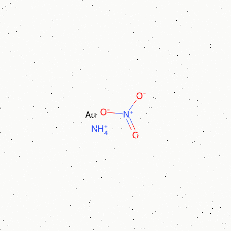 O=[N+]([O-])[O-].[Au].[NH4+]